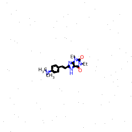 CCn1c(=O)c2[nH]c(C=Cc3ccc(N(C)C)cc3)nc2n(CC)c1=O